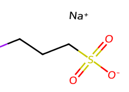 O=S(=O)([O-])CCCI.[Na+]